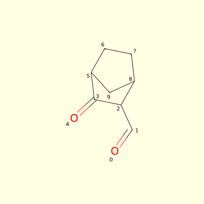 O=CC1C(=O)C2CCC1C2